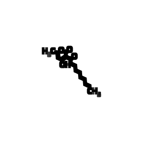 CCCCCCCCCC(=O)c1c(O)cc(C)oc1=O